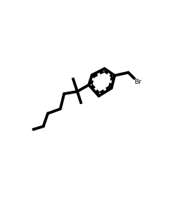 CCCCCC(C)(C)c1ccc(CBr)cc1